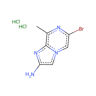 Cc1nc(Br)cn2cc(N)nc12.Cl.Cl